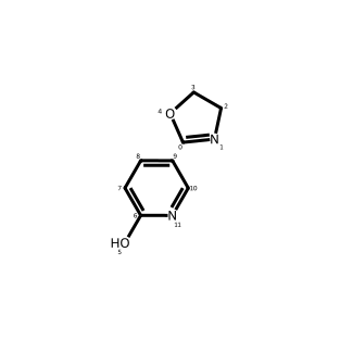 C1=NCCO1.Oc1ccccn1